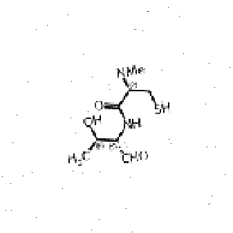 CN[C@@H](CS)C(=O)N[C@H](C=O)[C@@H](C)O